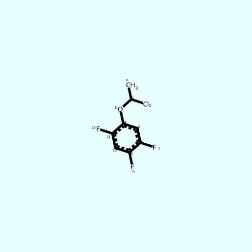 CC(Cl)Oc1cc(F)c(F)cc1F